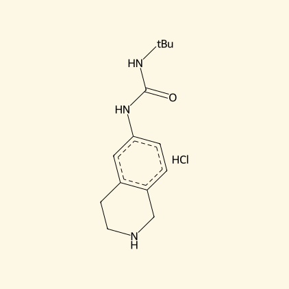 CC(C)(C)NC(=O)Nc1ccc2c(c1)CCNC2.Cl